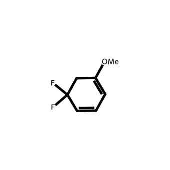 COC1=CC=CC(F)(F)C1